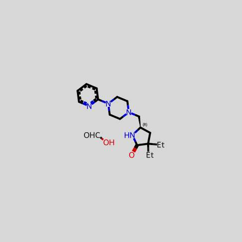 CCC1(CC)C[C@H](CN2CCN(c3ccccn3)CC2)NC1=O.O=CO